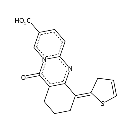 O=C(O)c1ccc2nc3c(c(=O)n2c1)CCCC3=C1CC=CS1